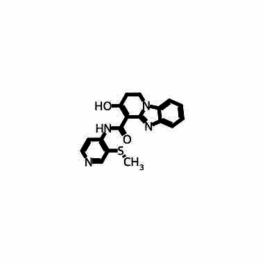 CSc1cnccc1NC(=O)C1=C(O)CCn2c1nc1ccccc12